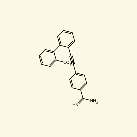 N=C(N)c1ccc(C#Cc2ccccc2-c2ccccc2C(=O)O)cc1